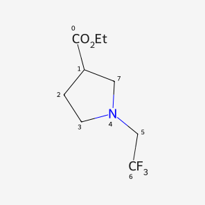 CCOC(=O)C1CCN(CC(F)(F)F)C1